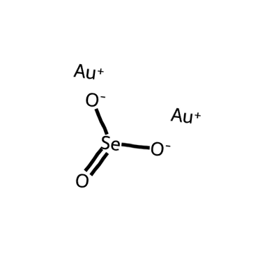 O=[Se]([O-])[O-].[Au+].[Au+]